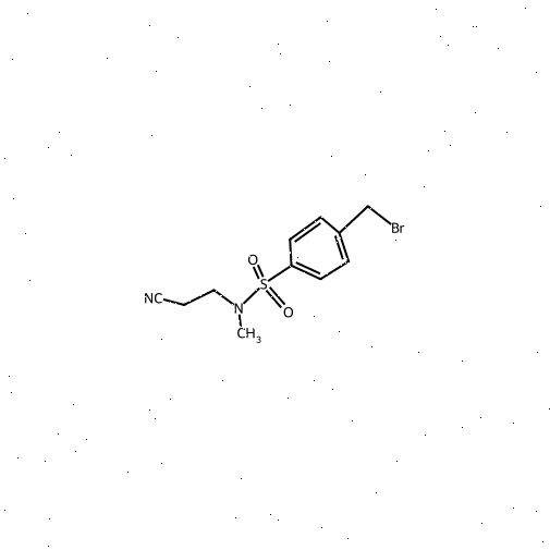 CN(CCC#N)S(=O)(=O)c1ccc(CBr)cc1